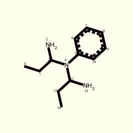 CCC(N)N(c1ccccc1)C(N)CC